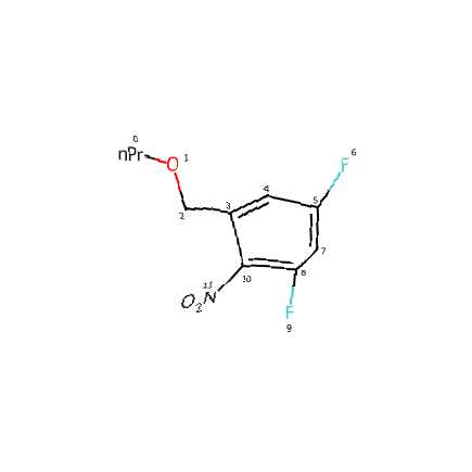 CCCOCc1cc(F)cc(F)c1[N+](=O)[O-]